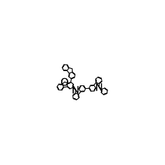 c1ccc(-n2c3ccccc3c3cc(-c4ccc5c(c4)c4ccccc4n5-c4cc(-c5ccc6c(c5)-c5ccccc5C6)c5oc6ccccc6c5c4)ccc32)cc1